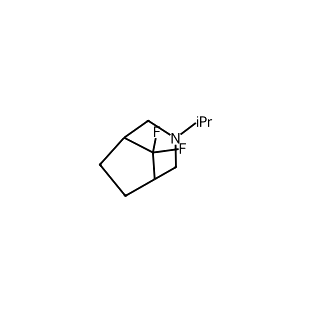 CC(C)N1CC2CCC(C1)C2(F)F